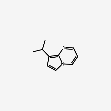 CC(C)c1ccn2cccnc12